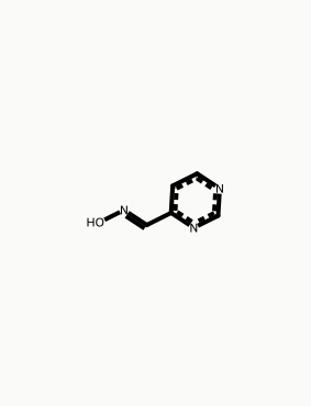 ON=Cc1ccncn1